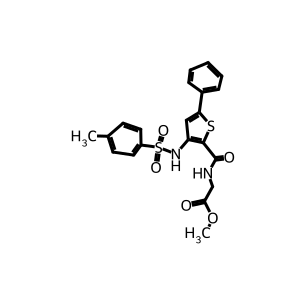 COC(=O)CNC(=O)c1sc(-c2ccccc2)cc1NS(=O)(=O)c1ccc(C)cc1